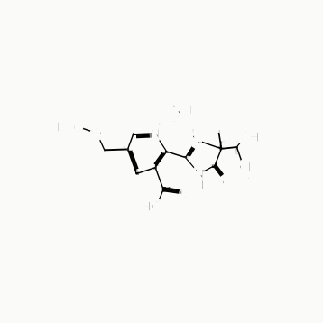 COCc1cnc(C2=NC(C)(C(C)C)C(=O)N2)c(C(=O)O)c1.[NaH]